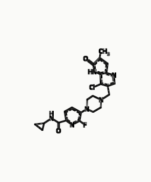 Cc1cc2ncc(CN3CCN(c4ccc(C(=O)NC5CC5)nc4F)CC3)c(Cl)c2[nH]c1=O